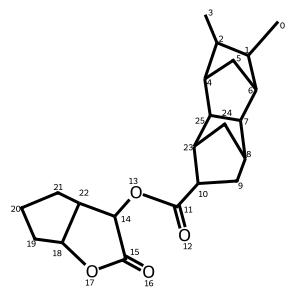 CC1C(C)C2CC1C1C3CC(C(=O)OC4C(=O)OC5CCCC54)C(C3)C21